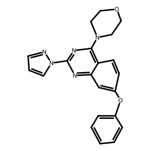 c1ccc(Oc2ccc3c(N4CCOCC4)nc(-n4cccn4)nc3c2)cc1